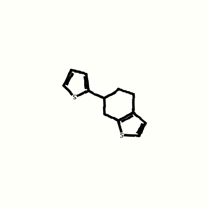 c1csc(C2CCc3ccsc3C2)c1